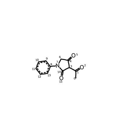 CC(=O)C1C(=O)CN(c2ccccc2)C1=O